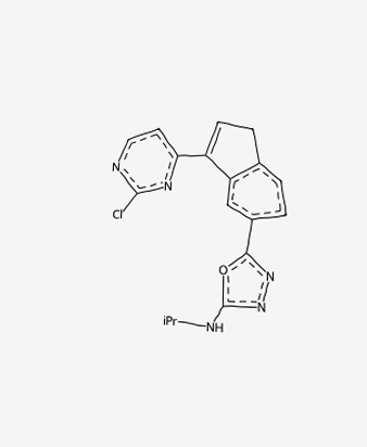 CC(C)Nc1nnc(-c2ccc3c(c2)C(c2ccnc(Cl)n2)=CC3)o1